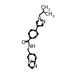 CC(C)Cn1cc(-c2ccc(C(=O)NCc3ccc4nccn4c3)cc2)cn1